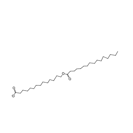 CCCCCCCCCCCCCCCC(=O)OCCCCCCCCCCCCCC([O])=O